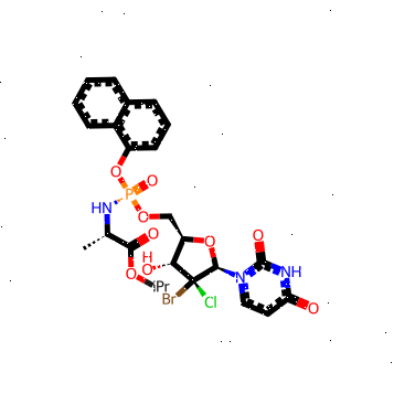 CC(C)OC(=O)[C@H](C)N[P@](=O)(OC[C@H]1O[C@@H](n2ccc(=O)[nH]c2=O)[C@](Cl)(Br)[C@@H]1O)Oc1cccc2ccccc12